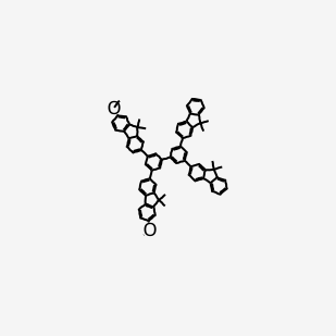 COc1ccc2c(c1)C(C)(C)c1cc(-c3cc(-c4cc(-c5ccc6c(c5)C(C)(C)c5ccccc5-6)cc(-c5ccc6c(c5)C(C)(C)c5ccccc5-6)c4)cc(-c4ccc5c(c4)C(C)(C)c4cc(OC)ccc4-5)c3)ccc1-2